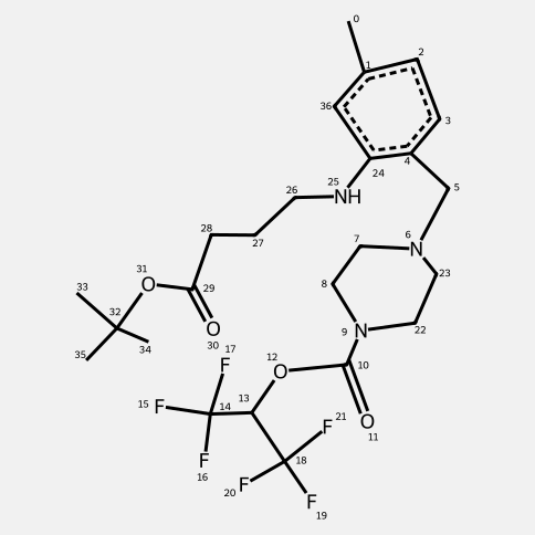 Cc1ccc(CN2CCN(C(=O)OC(C(F)(F)F)C(F)(F)F)CC2)c(NCCCC(=O)OC(C)(C)C)c1